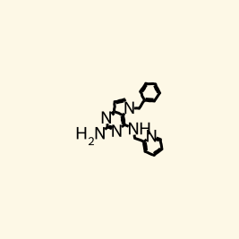 Nc1nc(NCc2ccccn2)c2c(ccn2Cc2ccccc2)n1